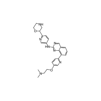 CN(C)CCOc1ccc(-c2cccc3cnc(Nc4ccc(C5CNCCO5)nc4)nc23)nc1